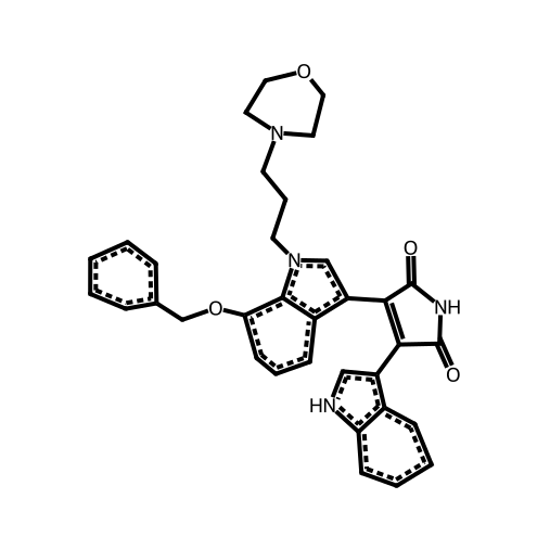 O=C1NC(=O)C(c2cn(CCCN3CCOCC3)c3c(OCc4ccccc4)cccc23)=C1c1c[nH]c2ccccc12